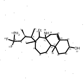 CCC1C(C)(C(C)[C@H](C)CC(F)(F)P)CCCC2C3(C)CCC(O)CC3=CCC21N